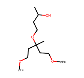 [CH2]C(CCOCCCC)(CCOCCCC)OCCC(C)O